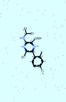 CCc1nc(NC(CC)CC)c(OC)nc1-c1ccc(Cl)cc1C